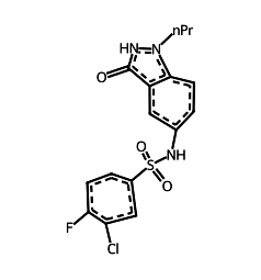 CCCn1[nH]c(=O)c2cc(NS(=O)(=O)c3ccc(F)c(Cl)c3)ccc21